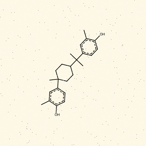 Cc1cc(C2(C)CCC(C(C)(C)c3ccc(O)c(C)c3)CC2)ccc1O